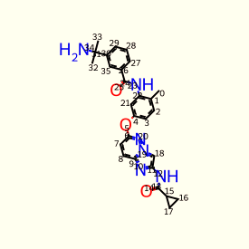 Cc1ccc(Oc2ccc3nc(NC(=O)C4CC4)cn3n2)cc1NC(=O)c1cccc(C(C)(C)N)c1